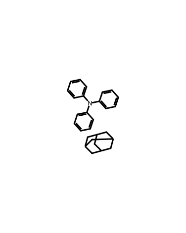 C1C2CC3CC1CC(C2)C3.c1ccc(N(c2ccccc2)c2ccccc2)cc1